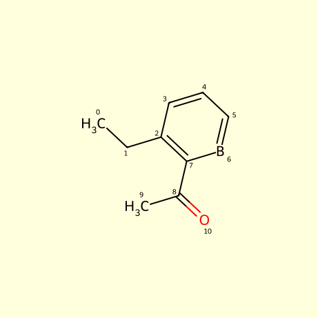 CCc1cccbc1C(C)=O